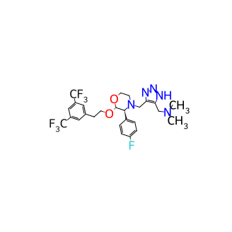 CN(C)Cc1[nH]nnc1CN1CCO[C@@H](OCCc2cc(C(F)(F)F)cc(C(F)(F)F)c2)[C@@H]1c1ccc(F)cc1